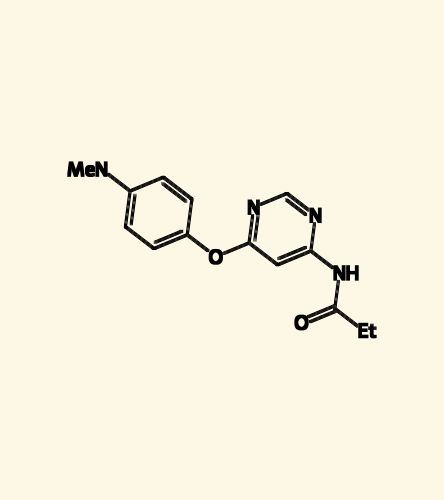 CCC(=O)Nc1cc(Oc2ccc(NC)cc2)ncn1